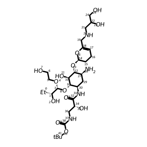 CC[C@@H](O)[C@H](OCCO)O[C@@H]1[C@@H](O)[C@H](O[C@@H]2CCC=C(CNCC(O)CO)O2)[C@@H](N)C[C@H]1NC(=O)[C@H](O)CNC(=O)OC(C)(C)C